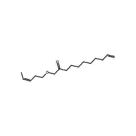 C=CCCCCCCCC(=O)COCC/C=C\C